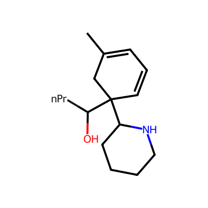 CCCC(O)C1(C2CCCCN2)C=CC=C(C)C1